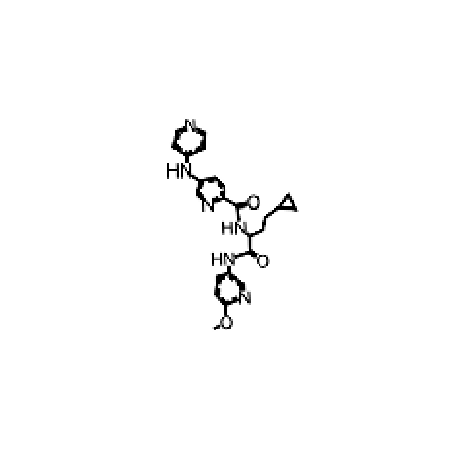 COc1ccc(NC(=O)C(CCC2CC2)NC(=O)c2ccc(Nc3ccncc3)cn2)cn1